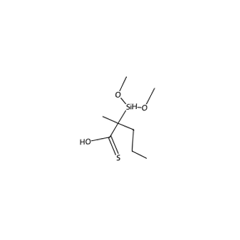 CCCC(C)(C(O)=S)[SiH](OC)OC